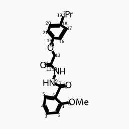 COc1ccccc1C(=O)NNC(=O)COc1ccc(C(C)C)cc1